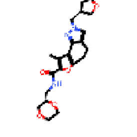 Cc1c(C(=O)NC[C@@H]2COCCO2)oc2c1-c1nn(C[C@H]3CCOC3)cc1CC2